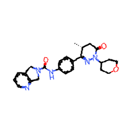 C[C@@H]1CC(=O)N(C2CCOCC2)N=C1c1ccc(NC(=O)N2Cc3cccnc3C2)cc1